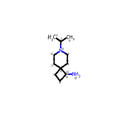 CC(C)N1CCC2(CC[C@@H]2N)CC1